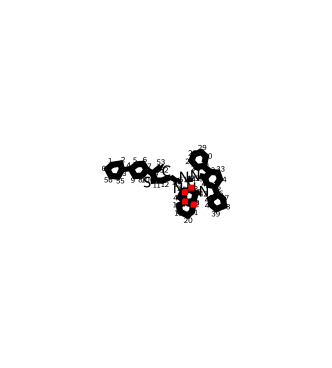 c1ccc(-c2ccc3c(c2)sc2cc(-c4nc(-c5ccccc5)nc(-n5c6ccccc6c6ccc7c8ccccc8n(-c8ccccc8)c7c65)n4)ccc23)cc1